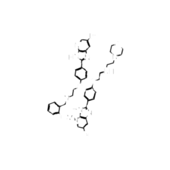 Brc1cnc2[nH]c(-c3ccc(OCCNCCN4CCOCC4)cc3)nc2c1.COc1ccccc1CNCCOc1ccc(-c2nc3cc(Br)cnc3[nH]2)cc1